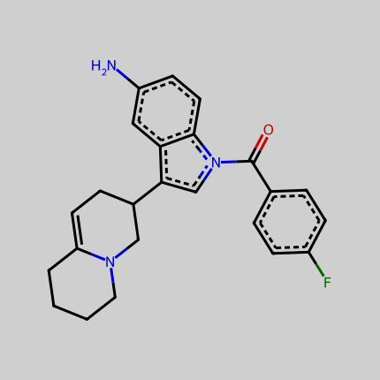 Nc1ccc2c(c1)c(C1CC=C3CCCCN3C1)cn2C(=O)c1ccc(F)cc1